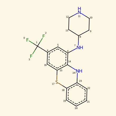 FC(F)(F)c1cc(NC2CCNCC2)c2c(c1)Sc1ccccc1N2